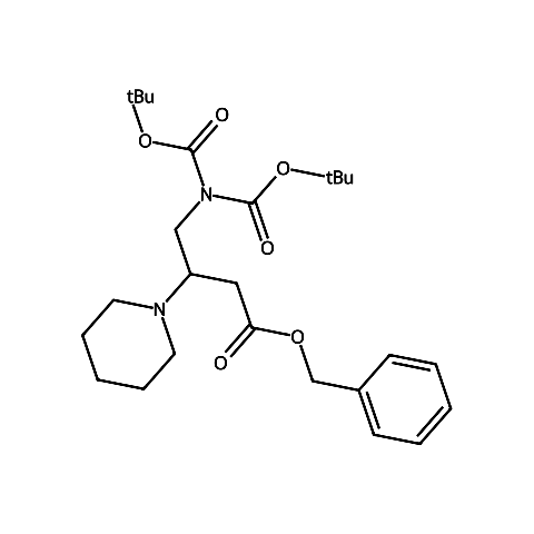 CC(C)(C)OC(=O)N(CC(CC(=O)OCc1ccccc1)N1CCCCC1)C(=O)OC(C)(C)C